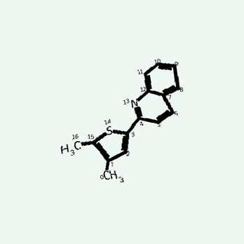 Cc1cc(-c2ccc3ccccc3n2)sc1C